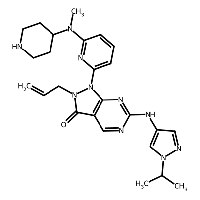 C=CCn1c(=O)c2cnc(Nc3cnn(C(C)C)c3)nc2n1-c1cccc(N(C)C2CCNCC2)n1